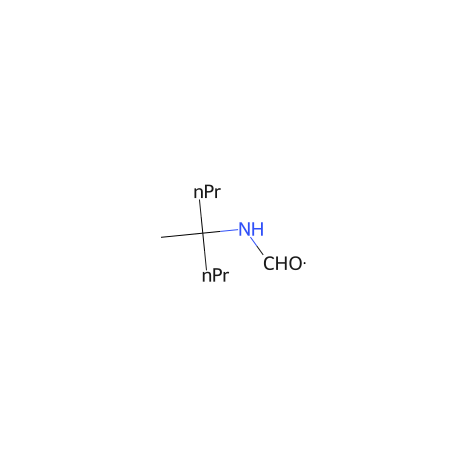 CCCC(C)(CCC)N[C]=O